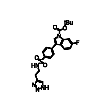 CC(C)(C)OC(=O)n1cc(-c2ccc(S(=O)(=O)NCCc3c[nH]nn3)cc2)c2ccc(F)cc21